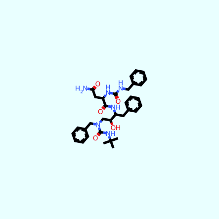 CC(C)(C)NC(=O)N(Cc1ccccc1)CC(O)C(Cc1ccccc1)NC(=O)C(CC(N)=O)NC(=O)NCc1ccccc1